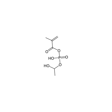 C=C(C)C(=O)OP(=O)(O)OC(C)O